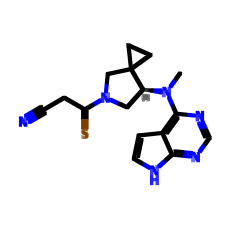 CN(c1ncnc2[nH]ccc12)[C@H]1CN(C(=S)CC#N)CC12CC2